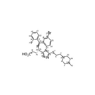 CN1CCN(CCSc2nnc3n2-c2ccc(Br)cc2C(c2ccccc2F)=N[C@H]3CCC(=O)O)CC1